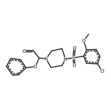 COc1ccc(Cl)cc1S(=O)(=O)N1CCN(C(C=O)Oc2ccccc2)CC1